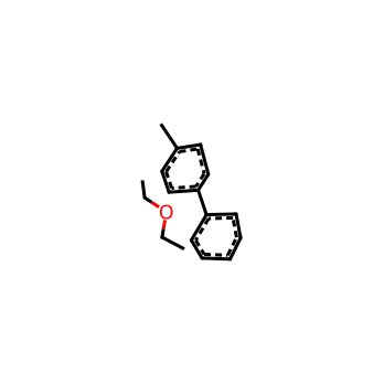 CCOCC.Cc1ccc(-c2ccccc2)cc1